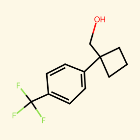 OCC1(c2ccc(C(F)(F)F)cc2)CCC1